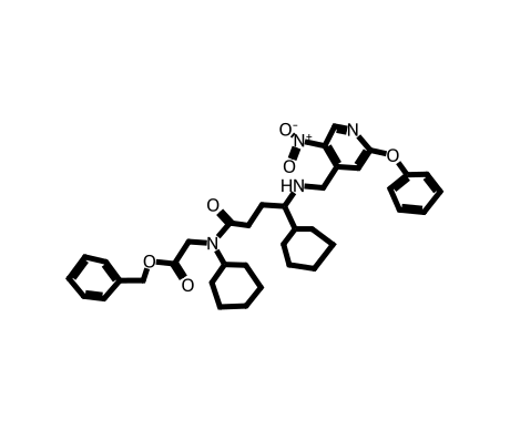 O=C(CN(C(=O)CCC(NCc1cc(Oc2ccccc2)ncc1[N+](=O)[O-])C1CCCCC1)C1CCCCC1)OCc1ccccc1